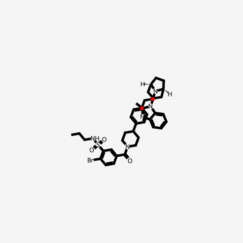 CCCNS(=O)(=O)c1cc(C(=O)N2CCC(c3ccc(CCN4[C@@H]5CC[C@H]4CC(n4c(C)nc6ccccc64)C5)cc3)CC2)ccc1Br